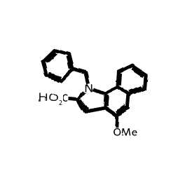 COc1cc2ccccc2c2c1cc(C(=O)O)n2Cc1ccccc1